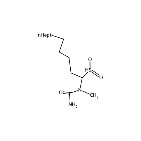 CCCCCCCCCCCC(N(C)C(N)=O)[SH](=O)=O